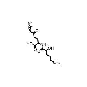 CCCCC(O)C(=O)NC(CCC(=O)C=[N+]=[N-])C(=O)O